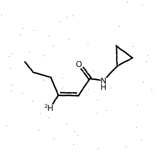 [2H]C(=CC(=O)NC1CC1)CCC